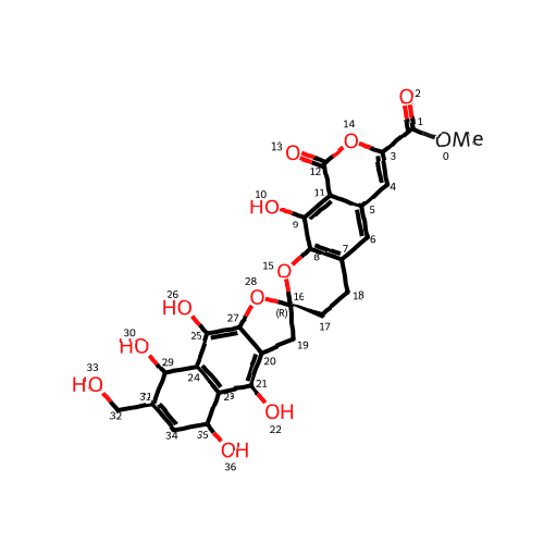 COC(=O)c1cc2cc3c(c(O)c2c(=O)o1)O[C@]1(CC3)Cc2c(O)c3c(c(O)c2O1)C(O)C(CO)=CC3O